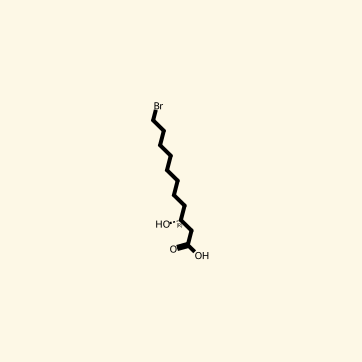 O=C(O)C[C@H](O)CCCCCCCCBr